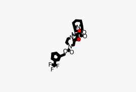 O=C(O)C1CC2CCCC(C1)N2C(=O)c1cc2n(n1)CCN(C(=O)OCc1cccc(C(F)(F)F)c1)C2